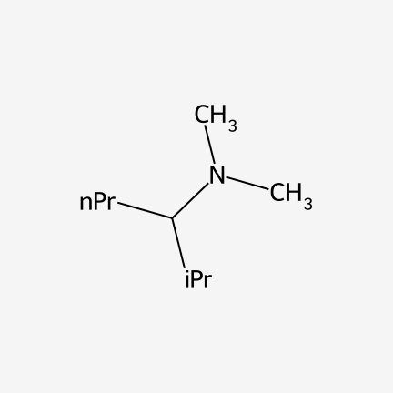 CCCC(C(C)C)N(C)C